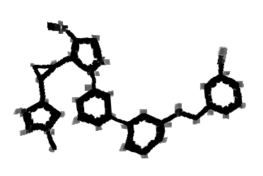 Cn1cc(C2CC2c2c(C(=O)O)cnn2-c2cccc(-c3cccc(OCc4cccc(F)c4)c3)c2)nn1